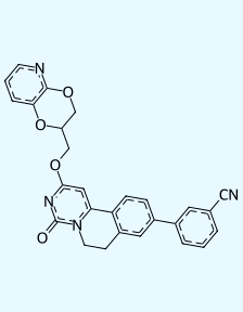 N#Cc1cccc(-c2ccc3c(c2)CCn2c-3cc(OCC3COc4ncccc4O3)nc2=O)c1